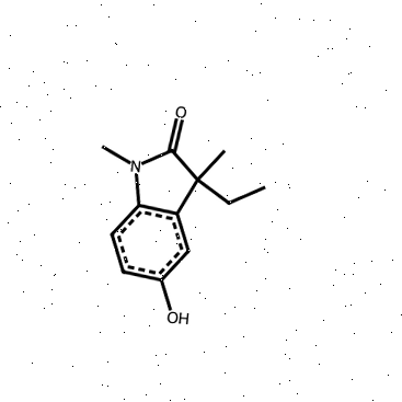 CCC1(C)C(=O)N(C)c2ccc(O)cc21